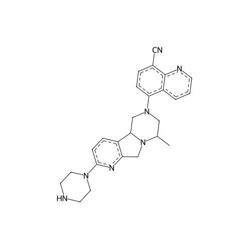 CC1CN(c2ccc(C#N)c3ncccc23)CC2c3ccc(N4CCNCC4)nc3CN12